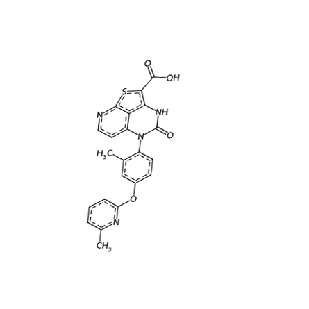 Cc1cccc(Oc2ccc(N3C(=O)Nc4c(C(=O)O)sc5nccc3c45)c(C)c2)n1